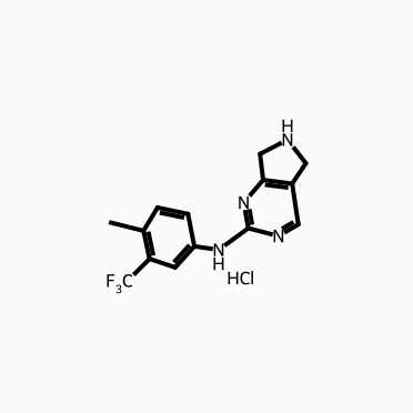 Cc1ccc(Nc2ncc3c(n2)CNC3)cc1C(F)(F)F.Cl